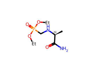 CCOP(=O)(CN[C@@H](C)C(N)=O)OCC